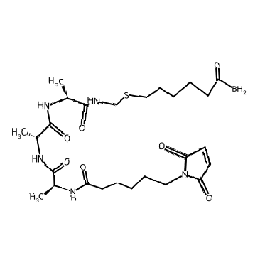 BC(=O)CCCCCSCNC(=O)[C@H](C)NC(=O)[C@@H](C)NC(=O)[C@H](C)NC(=O)CCCCCN1C(=O)C=CC1=O